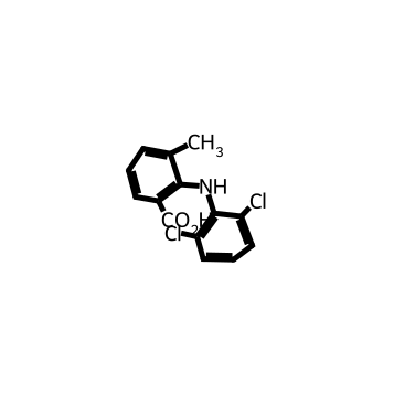 Cc1cccc(C(=O)O)c1Nc1c(Cl)cccc1Cl